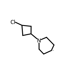 ClC1CC(N2CC[CH]CC2)C1